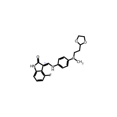 CN(CCC1OCCO1)c1ccc(N/C=C2/C(=O)Nc3cccc(F)c32)cc1